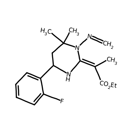 C=NN1/C(=C(\C)C(=O)OCC)NC(c2ccccc2F)CC1(C)C